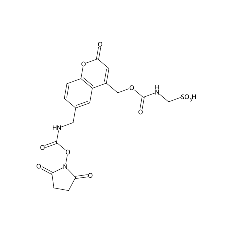 O=C(NCS(=O)(=O)O)OCc1cc(=O)oc2ccc(CNC(=O)ON3C(=O)CCC3=O)cc12